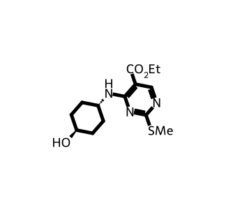 CCOC(=O)c1cnc(SC)nc1N[C@H]1CC[C@H](O)CC1